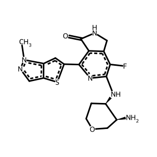 Cn1ncc2sc(-c3nc(N[C@@H]4CCOC[C@@H]4N)c(F)c4c3C(=O)NC4)cc21